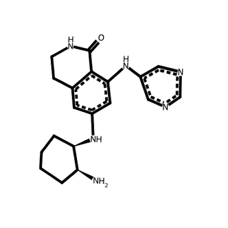 N[C@H]1CCCC[C@H]1Nc1cc2c(c(Nc3cncnc3)c1)C(=O)NCC2